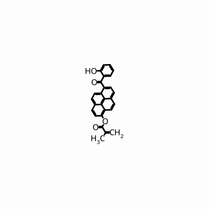 C=C(C)C(=O)Oc1ccc2ccc3c(C(=O)c4ccccc4O)ccc4ccc1c2c43